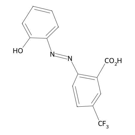 O=C(O)c1cc(C(F)(F)F)ccc1N=Nc1ccccc1O